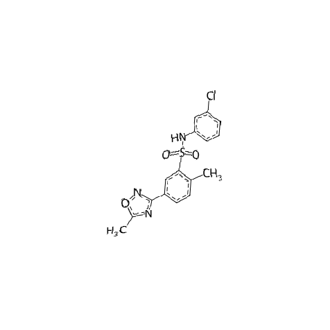 Cc1nc(-c2ccc(C)c(S(=O)(=O)Nc3cccc(Cl)c3)c2)no1